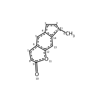 Cn1ccc2cc3ccc(=O)oc3cc21